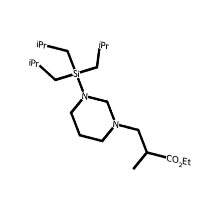 CCOC(=O)C(C)CN1CCCN([Si](CC(C)C)(CC(C)C)CC(C)C)C1